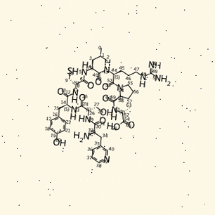 CC(C)C[C@H](NC(=O)[C@@H](CS)NC(=O)[C@H](Cc1ccc(O)cc1)NC(=O)[C@H](CO)NC(=O)[C@H](N)Cc1cccnc1)C(=O)N[C@@H](CCCNC(=N)N)C(=O)N1CCC[C@H]1C(=O)N[C@H](C)C(=O)O